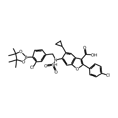 CC1(C)OB(c2ccc(CN(c3cc4oc(-c5ccc(Cl)cc5)c(C(=O)O)c4cc3C3CC3)[SH](=O)=O)cc2Cl)OC1(C)C